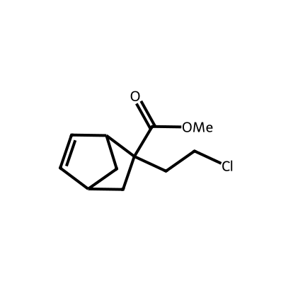 COC(=O)C1(CCCl)CC2C=CC1C2